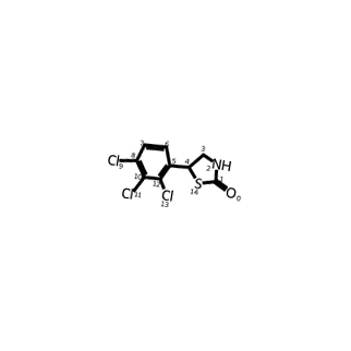 O=C1NCC(c2ccc(Cl)c(Cl)c2Cl)S1